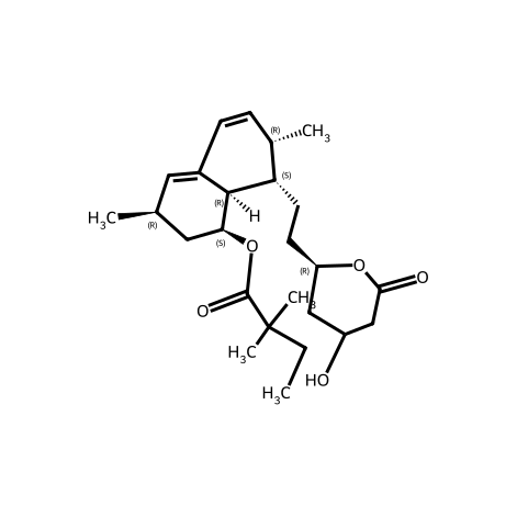 CCC(C)(C)C(=O)O[C@H]1C[C@@H](C)C=C2C=C[C@H](C)[C@H](CC[C@@H]3CC(O)CC(=O)O3)[C@H]21